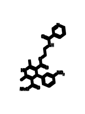 COC(=O)C1=C(C)NC(C)=C(C(=O)OCCNC(=O)c2cccnc2)C1c1cccc([N+](=O)[O-])c1